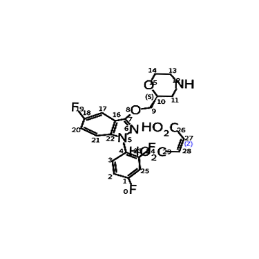 Fc1ccc(-n2nc(OC[C@@H]3CNCCO3)c3cc(F)ccc32)c(F)c1.O=C(O)/C=C\C(=O)O